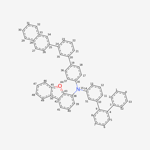 c1ccc(-c2ccccc2-c2cccc(N(c3ccc(-c4cccc(-c5ccc6ccccc6c5)c4)cc3)c3cccc4c3oc3ccccc34)c2)cc1